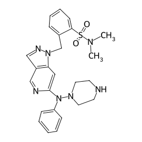 CN(C)S(=O)(=O)c1ccccc1Cn1ncc2cnc(N(c3ccccc3)N3CCNCC3)cc21